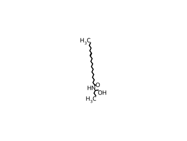 CCCCCC=CCCCCCCCCCCC(=O)NC(CO)CCC